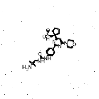 CC(C)(N)CNC(=O)Nc1ccc(-c2nc(N3CCOCC3)cc(C3(C[SH](=O)=O)CCCC3)n2)cc1